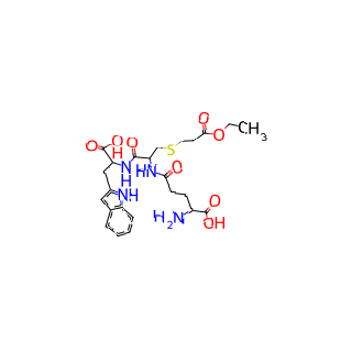 CCOC(=O)CCSCC(NC(=O)CCC(N)C(=O)O)C(=O)NC(Cc1cc2ccccc2[nH]1)C(=O)O